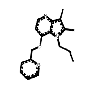 CCCn1c(C)c(C)c2nccc(OCc3ccccn3)c21